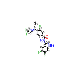 CC(c1ccc(C(=O)Nc2c[nH]c3cc(F)c(F)cc23)cc1F)N1CC(F)(F)C1